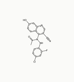 CC(=O)N(Nc1ccc(Cl)cc1F)c1c(C#N)cnc2cc(O)ccc12